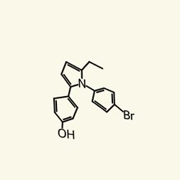 CCc1ccc(-c2ccc(O)cc2)n1-c1ccc(Br)cc1